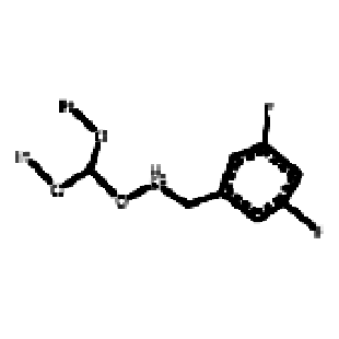 CCOC(OCC)O[SiH2]Cc1cc(F)cc(F)c1